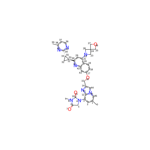 Cc1cc(N2CC(=O)N(C)C2=O)c2nc(COc3ccc4c(N5CC6(COC6)C5)cc([C@H]5C[C@@H]5c5nccc(C)n5)nc4c3)cn2c1